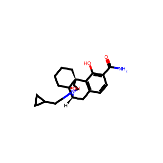 NC(=O)c1ccc2c(c1O)[C@@]13CCCCC1(O)[C@@H](C2)N(CC1CC1)CC3